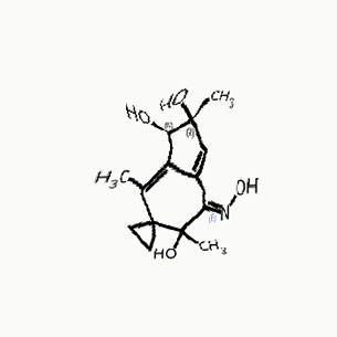 CC1=C2C(=C[C@@](C)(O)[C@@H]2O)/C(=N\O)C(C)(O)C12CC2